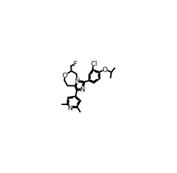 Cc1cc(-c2nc(-c3ccc(OC(C)C)c(Cl)c3)n3c2CCOC(CF)C3)cc(C)n1